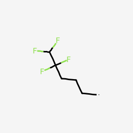 [CH2]CCCC(F)(F)C(F)F